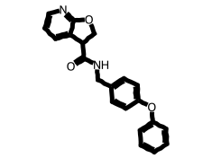 O=C(NCc1ccc(Oc2ccccc2)cc1)C1COc2ncccc21